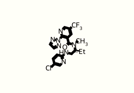 CC[C@@H](CNc1ccc(Cl)cn1)N(C)C(=O)c1cc(C(F)(F)F)cnc1-n1nccn1